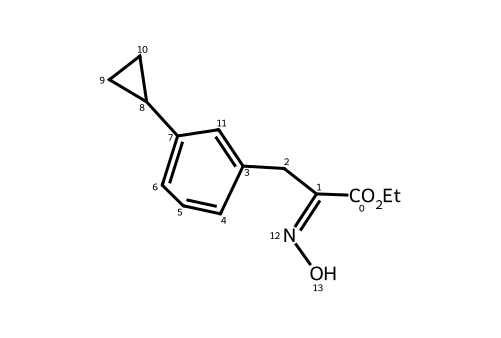 CCOC(=O)C(Cc1cccc(C2CC2)c1)=NO